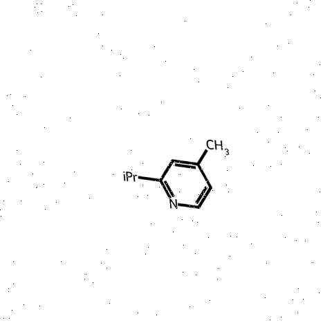 Cc1ccnc(C(C)C)c1